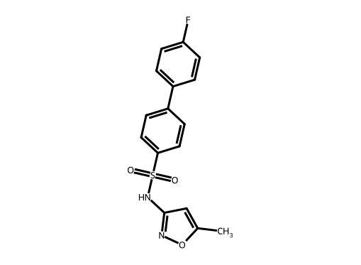 Cc1cc(NS(=O)(=O)c2ccc(-c3ccc(F)cc3)cc2)no1